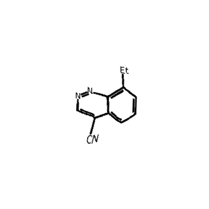 CCc1cccc2c(C#N)cnnc12